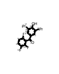 CC(C)c1cc(C(=O)c2c(F)ccc(F)c2F)cc(C(C)C)c1O